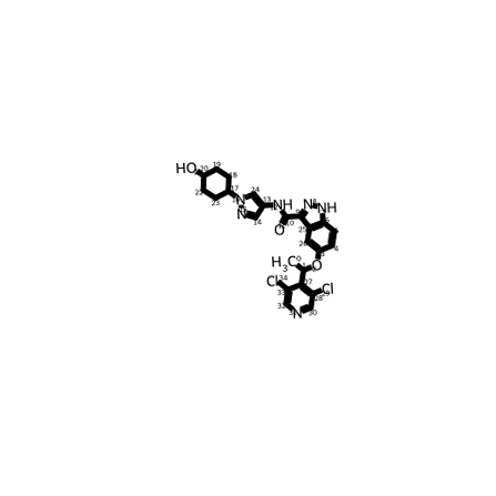 CC(Oc1ccc2[nH]nc(C(=O)Nc3cnn(C4CCC(O)CC4)c3)c2c1)c1c(Cl)cncc1Cl